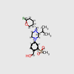 CC(C)[C@H]1CN(c2ccc(CO)c(S(C)(=O)=O)c2)CCN1C[C@H]1CCC(F)OC1